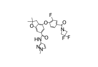 Cn1ccc(NC(=O)c2cc(Oc3ccc(C(=O)N4CC(F)(F)C4)cc3F)c3c(c2)OC(C)(C)C3)n1